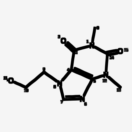 Cn1c(=O)c2c(ncn2CC[O])n(C)c1=O